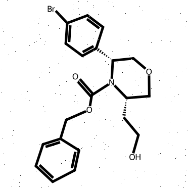 O=C(OCc1ccccc1)N1[C@@H](CCO)COC[C@H]1c1ccc(Br)cc1